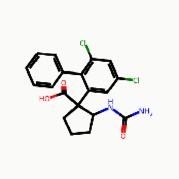 NC(=O)NC1CCCC1(C(=O)O)c1cc(Cl)cc(Cl)c1-c1ccccc1